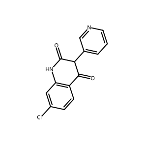 O=C1Nc2cc(Cl)ccc2C(=O)C1c1cccnc1